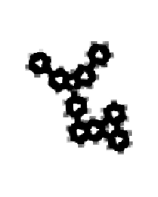 c1ccc(-c2ccc3c(c2)c2cc(-c4ccccc4)ccc2n3-c2ccc(-c3cccc4cc5c6ccccc6c6ccccc6c5cc34)cc2)cc1